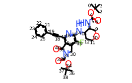 CC(C)(C)OC(=O)N[C@H]1COCC[C@H]1Nc1nc(C#Cc2ccccc2)c2c(c1F)CN(C(=O)OC(C)(C)C)C2=O